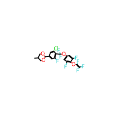 CC1COC(c2cc(F)c(C(F)(F)Oc3cc(F)c(OC(F)=C(F)F)c(F)c3)c(Cl)c2)OC1